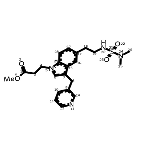 COC(=O)CCn1cc(Cc2cccnc2)c2cc(CCNS(=O)(=O)N(C)C)ccc21